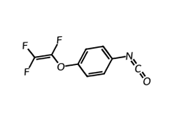 O=C=Nc1ccc(OC(F)=C(F)F)cc1